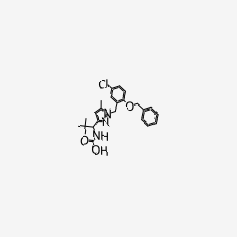 Cc1cc(C(NC(=O)O)C(C)(C)C)nn1Cc1cc(Cl)ccc1OCc1ccccc1